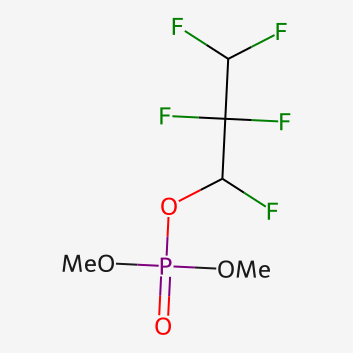 COP(=O)(OC)OC(F)C(F)(F)C(F)F